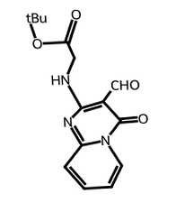 CC(C)(C)OC(=O)CNc1nc2ccccn2c(=O)c1C=O